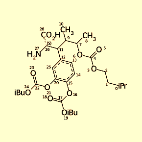 CC(C)CCOC(=O)OC(C)C(C)C(c1ccc(OC(=O)OCC(C)C)c(OC(=O)OCC(C)C)c1)[C@H](N)C(=O)O